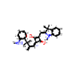 C=C(/C=C1/C(=O)C(C=C2N(C)c3ccccc3C2(C)C)=C1O)C(C)(C)c1ccccc1NC